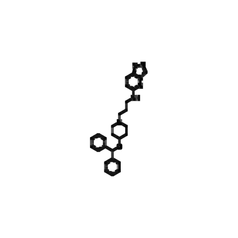 c1ccc(C(OC2CCN(CCCNc3ccc4nncn4n3)CC2)c2ccccc2)cc1